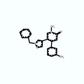 Cc1cccc(-c2cc(=O)n(C)cc2-c2cnn(Cc3ccccc3)c2)c1